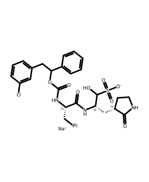 CC(C)C[C@H](NC(=O)OC(Cc1cccc(Cl)c1)c1ccccc1)C(=O)N[C@@H](C[C@@H]1CCNC1=O)C(O)S(=O)(=O)[O-].[Na+]